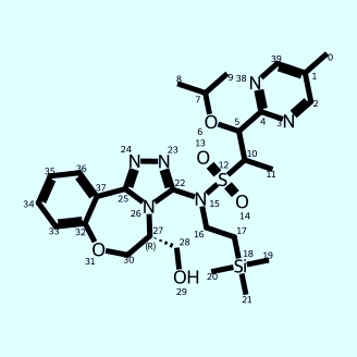 Cc1cnc(C(OC(C)C)C(C)S(=O)(=O)N(CC[Si](C)(C)C)c2nnc3n2[C@H](CO)COc2ccccc2-3)nc1